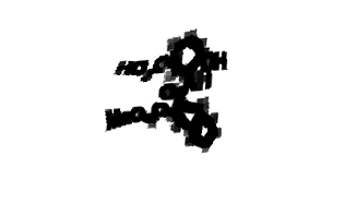 COCOc1cc2ccccc2cc1C(=O)N[C@@H]1CN(C(=O)O)CCC[C@H]1O